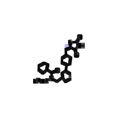 CCCCCN(Cc1cccc(-c2ccc(/C=C3/SC(=O)NC3=O)cc2)c1)C(=O)c1ccccc1